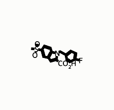 CS(=O)(=O)c1ccc2c(c1)cc(C(=O)O)n2Cc1ccc(F)cc1